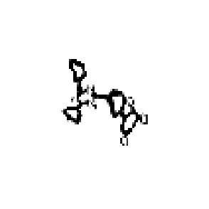 Clc1cc(Cl)c2oc3ccc(-c4nc(-c5ccccc5)nc(-c5ccccc5)n4)cc3c2c1